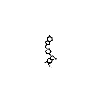 Cc1cc2c(cc1F)N(C1CCN(CC3CC4=C(CCC(F)=C4)C3)CC1)CN2